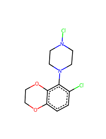 Clc1ccc2c(c1N1CCN(Cl)CC1)OCCO2